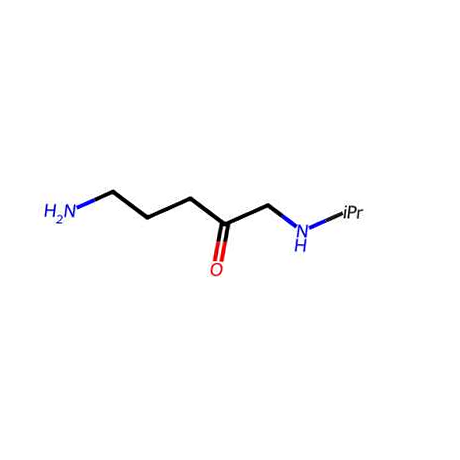 CC(C)NCC(=O)CCCN